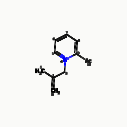 C=C(C)C[n+]1ccccc1C(C)=O